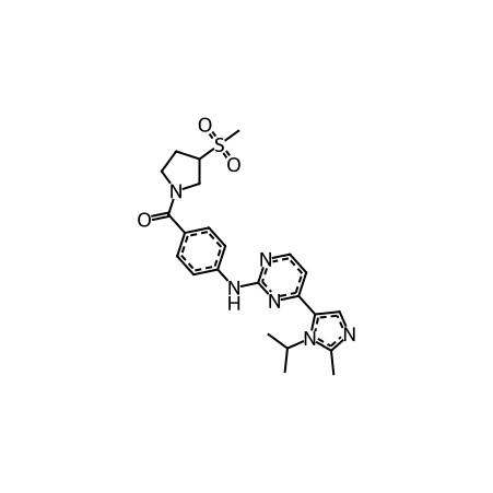 Cc1ncc(-c2ccnc(Nc3ccc(C(=O)N4CCC(S(C)(=O)=O)C4)cc3)n2)n1C(C)C